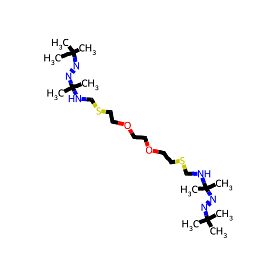 CC(C)(C)N=NC(C)(C)NCSCCOCCOCCSCNC(C)(C)N=NC(C)(C)C